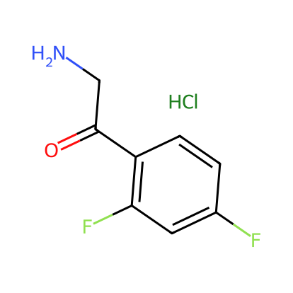 Cl.NCC(=O)c1ccc(F)cc1F